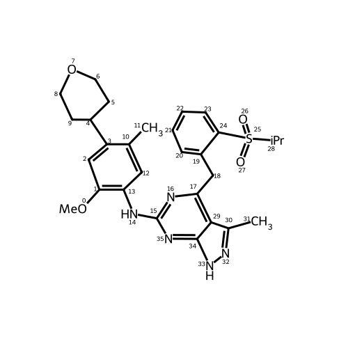 COc1cc(C2CCOCC2)c(C)cc1Nc1nc(Cc2ccccc2S(=O)(=O)C(C)C)c2c(C)n[nH]c2n1